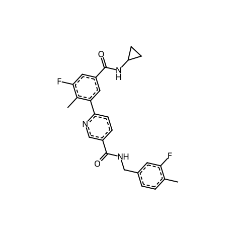 Cc1ccc(CNC(=O)c2ccc(-c3cc(C(=O)NC4CC4)cc(F)c3C)nc2)cc1F